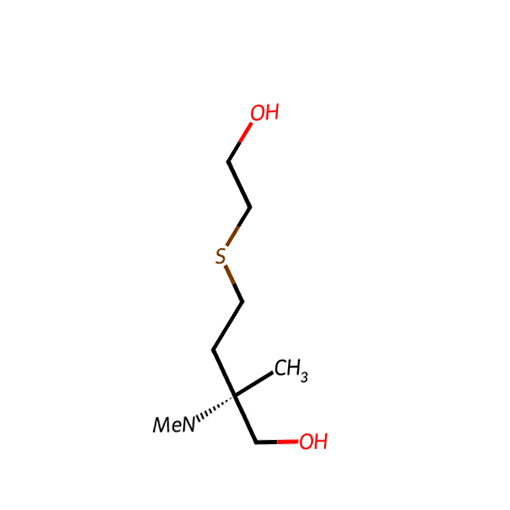 CN[C@](C)(CO)CCSCCO